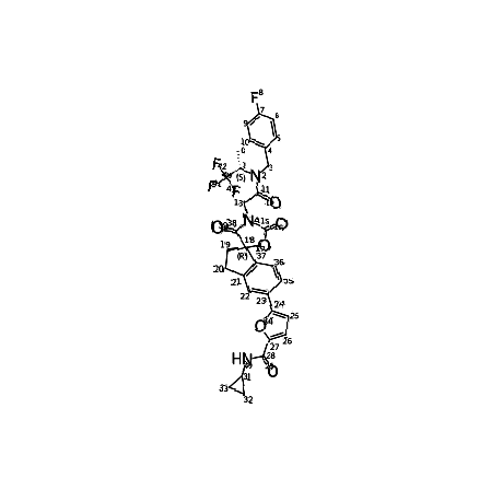 C[C@H](N(Cc1ccc(F)cc1)C(=O)CN1C(=O)O[C@@]2(CCc3cc(-c4ccc(C(=O)NC5CC5)o4)ccc32)C1=O)C(F)(F)F